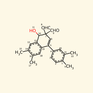 Cc1ccc(C2=CC(C=O)(C=O)C(O)c3cc(C)c(C)cc32)cc1C